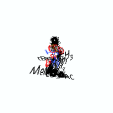 CNC(C(=O)NC(C(=O)N(C)C(C=C(C)C(=O)NS(=O)(=O)Cc1ccccc1)C(C)C)C(C)(C)C)C(C)(C)c1ccc(-c2ccc(C(C)=O)cc2)cc1